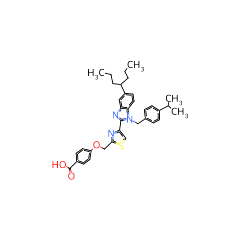 CCCC(CCC)c1ccc2c(c1)nc(-c1csc(COc3ccc(C(=O)O)cc3)n1)n2Cc1ccc(C(C)C)cc1